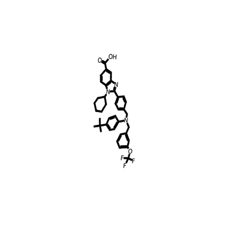 CC(C)(C)c1ccc(N(Cc2ccc(-c3nc4cc(C(=O)O)ccc4n3C3CCCCC3)cc2)Cc2cccc(OC(F)(F)F)c2)cc1